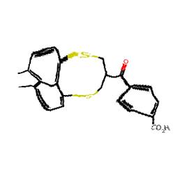 Cc1ccc2c3c(ccc(C)c13)SCC(C(=O)c1ccc(C(=O)O)cc1)CS2